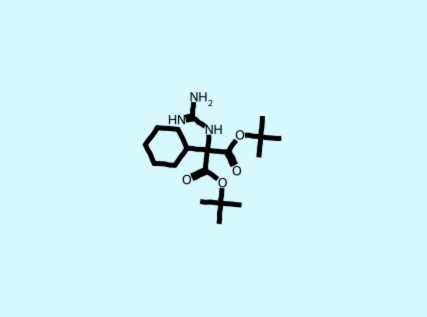 CC(C)(C)OC(=O)C(NC(=N)N)(C(=O)OC(C)(C)C)C1CCCCC1